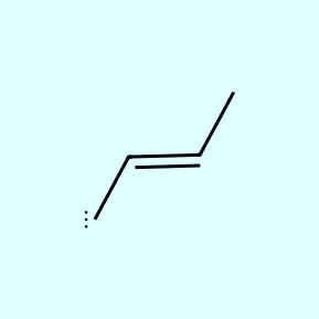 [C]C=CC